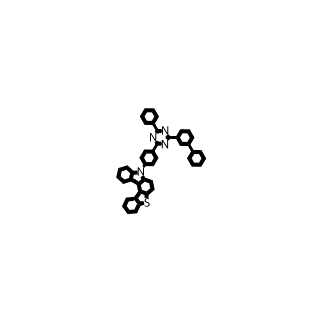 c1ccc(-c2cccc(-c3nc(-c4ccccc4)nc(-c4ccc(-n5c6ccccc6c6c7c(ccc65)sc5ccccc57)cc4)n3)c2)cc1